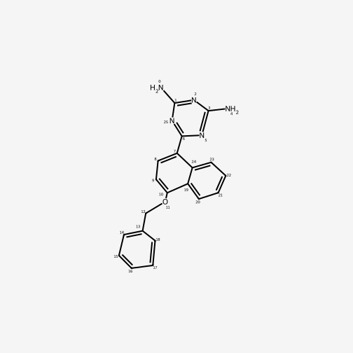 Nc1nc(N)nc(-c2ccc(OCc3ccccc3)c3ccccc23)n1